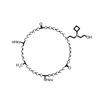 CCCCCCC1CCCCCC(=O)OCCCCCN(CCN(CCO)C2CCC2)CCCCCOC(=O)CCCCCC(CCCCCC)CCCCC(C)CCCCC1